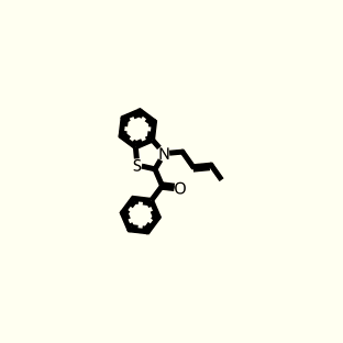 CC=CCN1c2ccccc2SC1C(=O)c1ccccc1